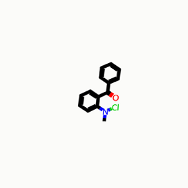 CN(Cl)c1ccccc1C(=O)c1ccccc1